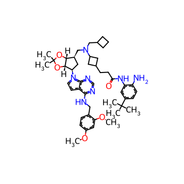 COc1ccc(CNc2ncnc3c2ccn3[C@@H]2C[C@H](CN(CC3CCC3)C3CC(CCC(=O)Nc4cc(C(C)(C)C)ccc4N)C3)[C@H]3OC(C)(C)O[C@H]32)c(OC)c1